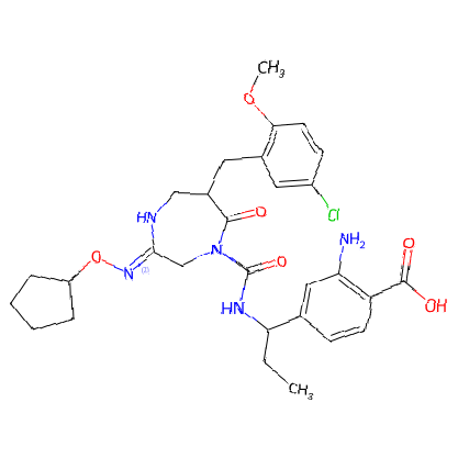 CCC(NC(=O)N1C/C(=N/OC2CCCC2)NCC(Cc2cc(Cl)ccc2OC)C1=O)c1ccc(C(=O)O)c(N)c1